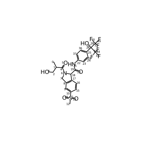 CC(CO)C(=O)N1Cc2cc(S(C)(=O)=O)ccc2C1C(=O)Nc1ccc(C(O)(C(F)(F)F)C(F)(F)F)cc1